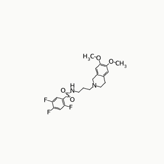 COc1cc2c(cc1OC)CN(CCCNS(=O)(=O)c1cc(F)c(F)cc1F)CC2